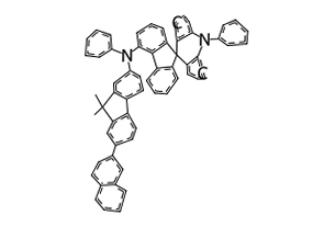 CC1(C)c2cc(-c3ccc4ccccc4c3)ccc2-c2ccc(N(c3ccccc3)c3cccc4c3-c3ccccc3C43c4ccccc4N(c4ccccc4)c4ccccc43)cc21